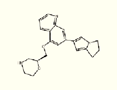 c1cnc2cc(-c3cc4n(c3)CCC4)cc(OC[C@@H]3CNCCO3)c2c1